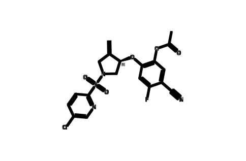 C=C1CN(S(=O)(=O)c2ccc(Cl)cn2)C[C@@H]1Oc1cc(F)c(C#N)cc1OC(C)=O